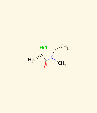 C=CC(=O)N(C)CC.Cl